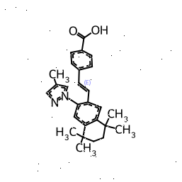 Cc1cnn(-c2cc3c(cc2/C=C/c2ccc(C(=O)O)cc2)C(C)(C)CCC3(C)C)c1